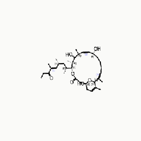 CCC(=O)/C(C)=C/[C@H](C)C[C@@H](C)[C@H]1OC(=O)C[C@@]2(O)CC=C(C)[C@H](O2)/C(C)=C\CCC[C@@H](O)/C=C\[C@H](C)C(O)[C@H]1C